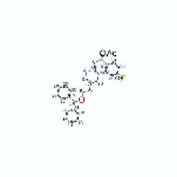 CC(=O)OC(CN1CC=C(CCOC(c2ccccc2)c2ccccc2)CC1)c1ccc(F)cc1